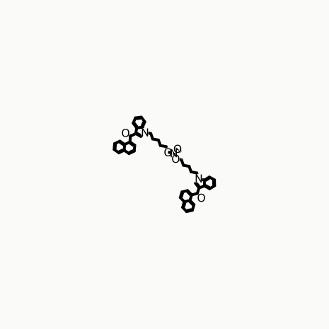 O=C(c1cccc2ccccc12)c1cn(CCCCCO[N+](=O)OCCCCCn2cc(C(=O)c3cccc4ccccc34)c3ccccc32)c2ccccc12